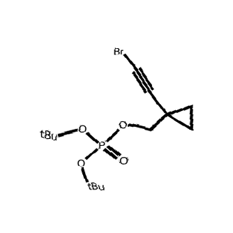 CC(C)(C)OP(=O)(OCC1(C#CBr)CC1)OC(C)(C)C